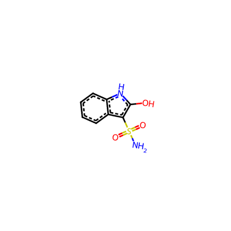 NS(=O)(=O)c1c(O)[nH]c2ccccc12